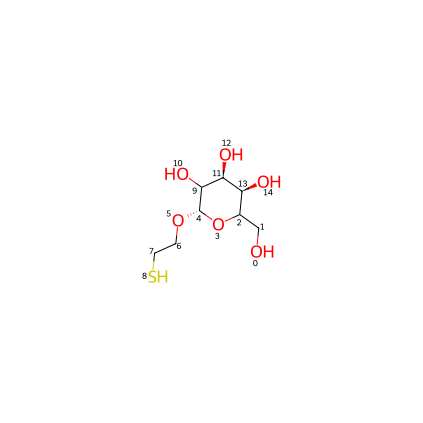 OCC1O[C@H](OCCS)C(O)[C@@H](O)[C@H]1O